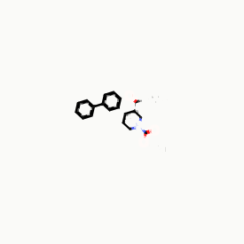 COC(=O)[C@H]1CN(C(=O)OC(C)(C)C)CC[C@@H]1c1cccc(-c2ccccc2)c1